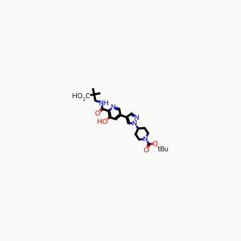 CC(C)(C)OC(=O)N1CCC(n2cc(-c3cnc(C(=O)NCC(C)(C)C(=O)O)c(O)c3)cn2)CC1